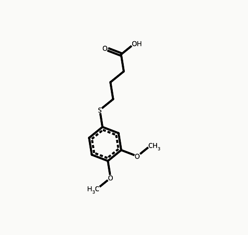 COc1ccc(SCCCC(=O)O)cc1OC